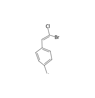 [CH2]c1ccc(C=C(Cl)Br)cc1